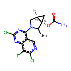 CC(C)(C)C1N(c2nc(Cl)nc3c(F)c(Cl)ncc23)C[C@H]2C[C@@]12OC(N)=O